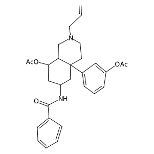 C=CCN1CCC2(c3cccc(OC(C)=O)c3)CC(NC(=O)c3ccccc3)CC(OC(C)=O)C2C1